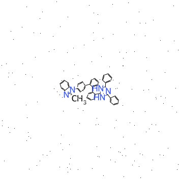 Cc1nc2ccccc2n1-c1ccc(-c2ccccc2-c2ccccc2C2NC(c3ccccc3)=NC(c3ccccc3)N2)cc1